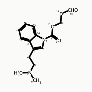 CN(C)CCc1cn(C(=O)OCOC=O)c2ccccc12